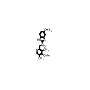 COc1c(C)cnc(C[S@+]([O-])c2nc3cc(OC(F)(F)F)ccc3[nH]2)c1C